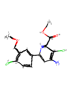 COCc1cc(-c2cc(N)c(Cl)c(C(=O)OC)n2)ccc1Cl